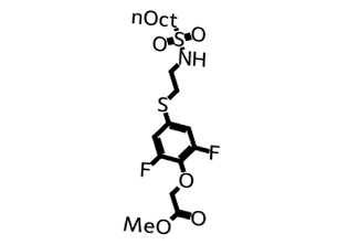 CCCCCCCCS(=O)(=O)NCCSc1cc(F)c(OCC(=O)OC)c(F)c1